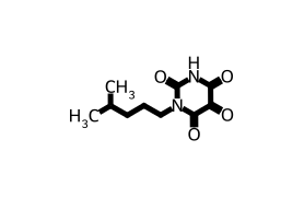 CC(C)CCCN1C(=O)NC(=O)C(=O)C1=O